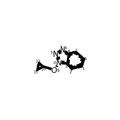 c1ccc2c(c1)nnn2OC1CC1